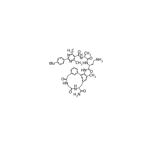 Cc1cc2cc(c1NC(=O)[C@H](CCN)NC(=O)[C@H](C)NC(=O)c1c(C)nc(-c3ccc(C(C)(C)C)cc3)nc1C)-c1cccc(c1)CC(=O)NCC(=O)NC(C(N)=O)C2